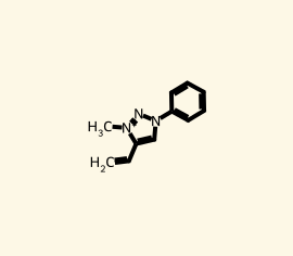 C=Cc1cn(-c2ccccc2)n[n+]1C